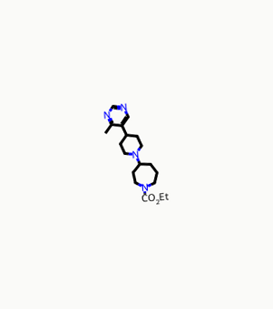 CCOC(=O)N1CCCC(N2CCC(c3cncnc3C)CC2)CC1